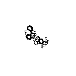 CCS(=O)(=O)N(Cc1ccc(F)c(C(F)(F)F)c1)c1sc2ccccc2c1-c1ccccc1F